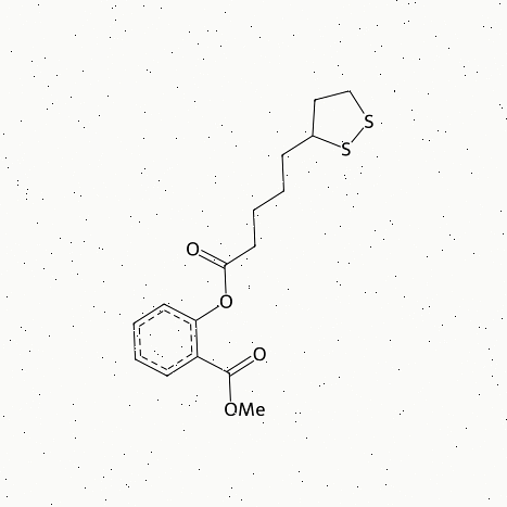 COC(=O)c1ccccc1OC(=O)CCCCC1CCSS1